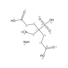 NCC(CCC(=O)O)(CCC(=O)O)S(=O)(=O)O.[NaH]